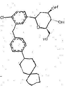 OC[C@H]1OC(c2ccc(Cl)c(Cc3ccc(C4CCC5(CCCC5)CC4)cc3)c2)C[C@@H](O)[C@@H]1O